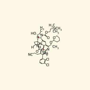 C[C@@H]1[C@@H](O)C[C@H](c2cc3c([C@@H](C)OC4CCCCO4)nc4c(F)c(-c5cccc(Cl)c5Cl)c(CCC#N)cc4c3n2[C@H]2[C@@H]3C[C@H]2N(C(=O)OC(C)(C)C)C3)N1C(=O)OCC[Si](C)(C)C